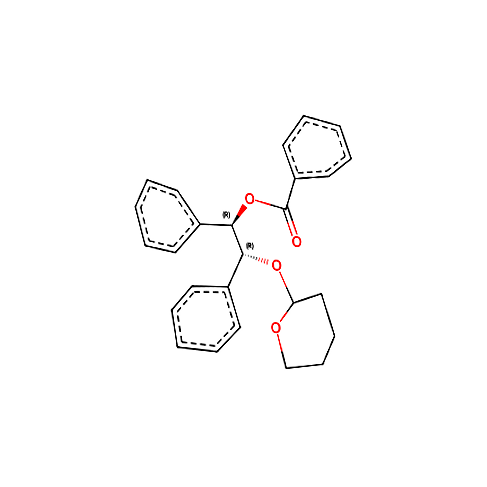 O=C(O[C@H](c1ccccc1)[C@H](OC1CCCCO1)c1ccccc1)c1ccccc1